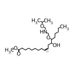 CCCCCC(OCNCOC(C)C)C(O)C/C=C\CCCCCCCC(=O)OC